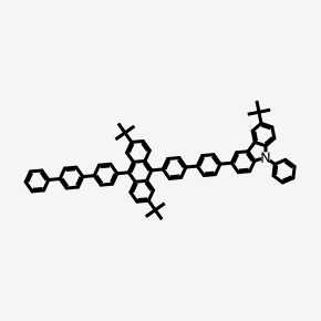 CC(C)(C)c1ccc2c(-c3ccc(-c4ccc(-c5ccc6c(c5)c5cc(C(C)(C)C)ccc5n6-c5ccccc5)cc4)cc3)c3cc(C(C)(C)C)ccc3c(-c3ccc(-c4ccc(-c5ccccc5)cc4)cc3)c2c1